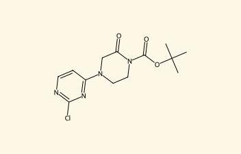 CC(C)(C)OC(=O)N1CCN(c2ccnc(Cl)n2)CC1=O